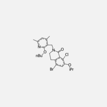 CCCCOc1nc(C)cc(C)c1CN1CCc2c(Br)cc(OC(C)C)c(Cl)c2C1=O